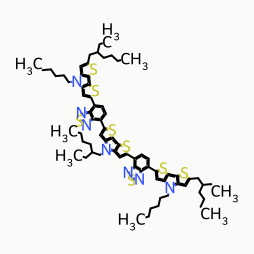 CCCCCCn1c2cc(CC(CC)CCCC)sc2c2sc(-c3ccc(-c4cc5c(s4)c4sc(-c6ccc(-c7cc8c(s7)c7sc(CC(CC)CCCC)cc7n8CCCCCC)c7nsnc67)cc4n5CC(CC)CCCC)c4nsnc34)cc21